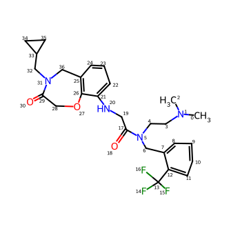 CN(C)CCN(Cc1ccccc1C(F)(F)F)C(=O)CNc1cccc2c1OCC(=O)N(CC1CC1)C2